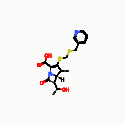 C[C@@H](O)[C@@H]1C(=O)N2C(C(=O)O)=C(SCSCc3cccnc3)[C@H](C)[C@@H]12